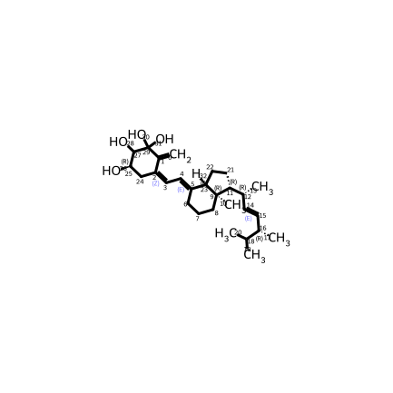 C=C1/C(=C\C=C2/CCC[C@]3(C)[C@@H]([C@H](C)/C=C/[C@H](C)C(C)C)CC[C@@H]23)C[C@@H](O)C(O)C1(O)O